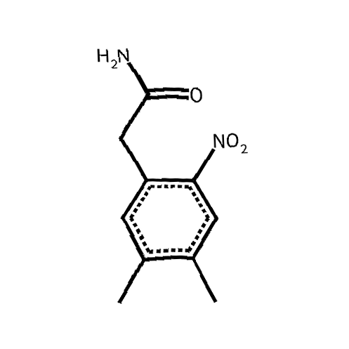 Cc1cc(CC(N)=O)c([N+](=O)[O-])cc1C